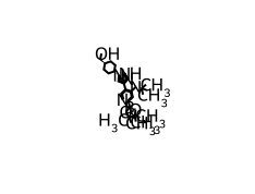 CC(C)Nc1cc(B2OC(C)(C)C(C)(C)O2)ncc1-c1cn([C@H]2CC[C@H](CO)CC2)nn1